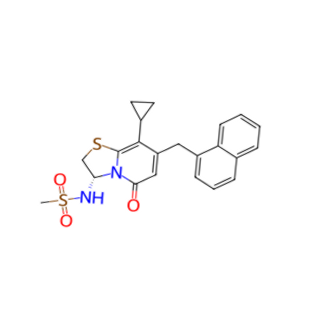 CS(=O)(=O)N[C@@H]1CSc2c(C3CC3)c(Cc3cccc4ccccc34)cc(=O)n21